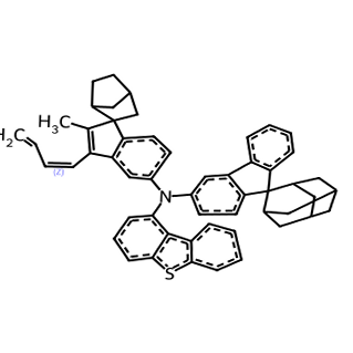 C=C/C=C\C1=C(C)C2(CC3CCC2C3)c2ccc(N(c3ccc4c(c3)-c3ccccc3C43C4CC5CC(C4)CC3C5)c3cccc4sc5ccccc5c34)cc21